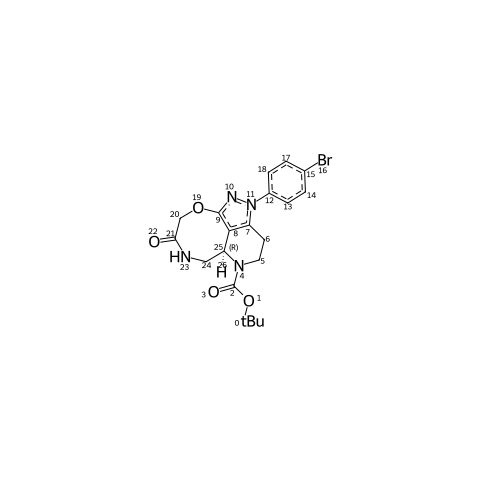 CC(C)(C)OC(=O)N1CCc2c3c(nn2-c2ccc(Br)cc2)OCC(=O)NC[C@@H]31